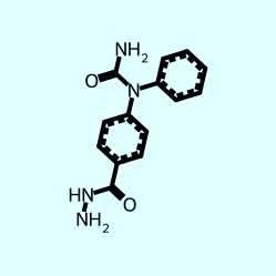 NNC(=O)c1ccc(N(C(N)=O)c2ccccc2)cc1